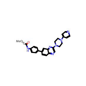 COCC(=O)Nc1ccc(-c2ccc3ncc(N4CCN(c5ccncc5)CC4)nc3c2)cc1